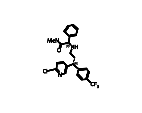 CNC(=O)[C@H](NCC[C@H](c1ccc(C(F)(F)F)cc1)c1ccc(Cl)nc1)c1ccccc1